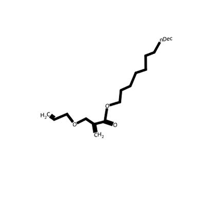 C=CCOCC(=C)C(=O)OCCCCCCCCCCCCCCCCC